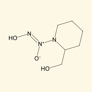 [O-][N+](=NO)N1CCCCC1CO